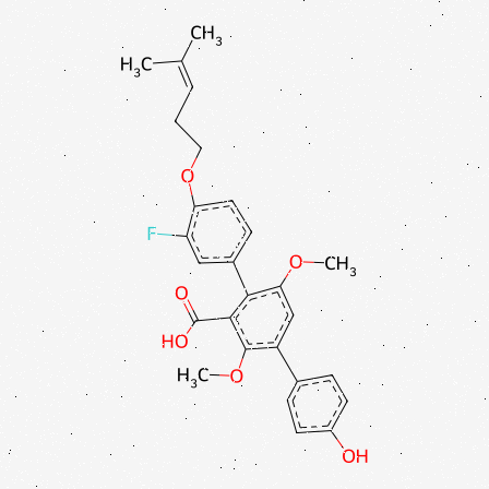 COc1cc(-c2ccc(O)cc2)c(OC)c(C(=O)O)c1-c1ccc(OCCC=C(C)C)c(F)c1